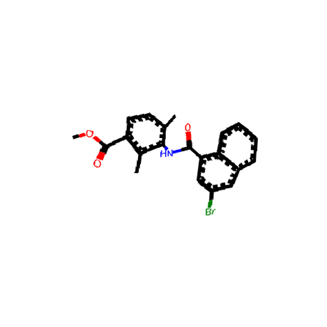 COC(=O)c1ccc(C)c(NC(=O)c2cc(Br)cc3ccccc23)c1C